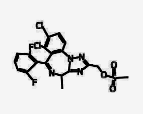 CC1N=C(c2c(F)cccc2F)c2c(ccc(Cl)c2Cl)-n2nc(COS(C)(=O)=O)nc21